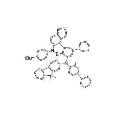 Cc1cc(-c2ccccc2)ccc1N1c2cc3c(cc2B2c4c(cc(-c5ccccc5)cc41)-c1c(ccc4ccccc14)N2c1ccc(C(C)(C)C)cc1)-c1ccccc1C3(C)C